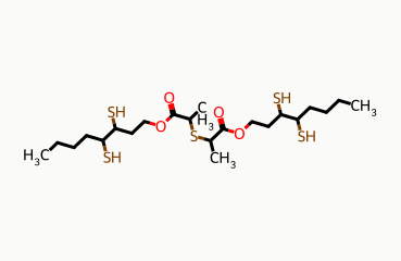 CCCCC(S)C(S)CCOC(=O)C(C)SC(C)C(=O)OCCC(S)C(S)CCCC